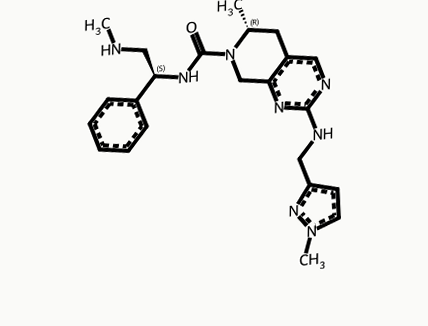 CNC[C@@H](NC(=O)N1Cc2nc(NCc3ccn(C)n3)ncc2C[C@H]1C)c1ccccc1